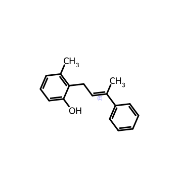 C/C(=C\Cc1c(C)cccc1O)c1ccccc1